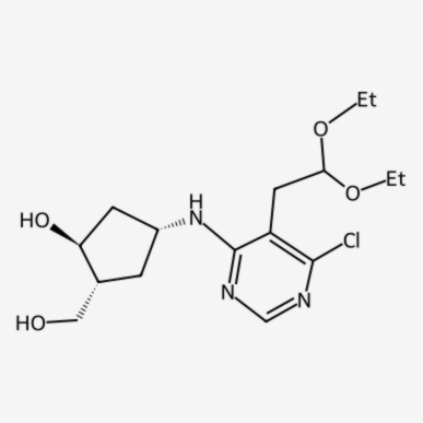 CCOC(Cc1c(Cl)ncnc1N[C@@H]1C[C@H](CO)[C@@H](O)C1)OCC